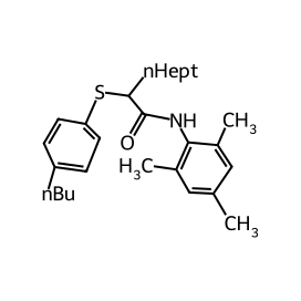 CCCCCCCC(Sc1ccc(CCCC)cc1)C(=O)Nc1c(C)cc(C)cc1C